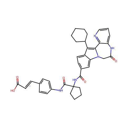 O=C(O)/C=C/c1ccc(NC(=O)C2(NC(=O)c3ccc4c(C5CCCCC5)c5n(c4c3)CC(=O)Nc3cccnc3-5)CCCC2)cc1